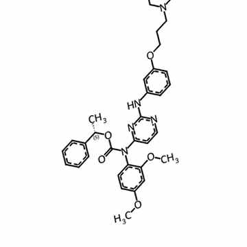 COc1ccc(N(C(=O)O[C@@H](C)c2ccccc2)c2ccnc(Nc3cccc(OCCCN4CCCCC4)c3)n2)c(OC)c1